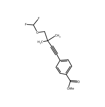 COC(=O)c1ccc(C#CC(C)(C)COC(F)F)cc1